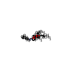 CC(C)(C)OC(=O)N(COCC[Si](C)(C)C)C1=N[C@](C)(c2cc(/C=C(\F)c3cnc(N4CCOC4=O)cn3)ccc2F)[C@@H]2C[C@]2(C(=O)N2CCOCC2)S1